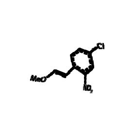 COC=Cc1ccc(Cl)cc1[N+](=O)[O-]